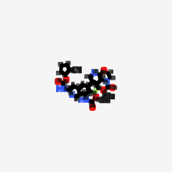 Cc1c(-c2cc3cc(NC(=O)OC4CCCC4C#N)ncc3c(NC(=O)OC(C)(C)C)c2F)cnc2c1N(C(=O)OC(C)(C)C)CCO2